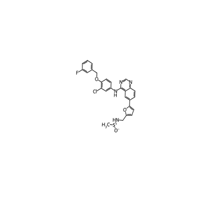 C[S+]([O-])NCc1ccc(-c2ccc3ncnc(Nc4ccc(OCc5cccc(F)c5)c(Cl)c4)c3c2)o1